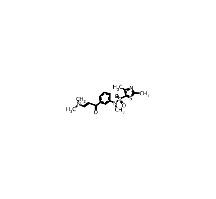 Cc1nc(C)c(S(=O)(=O)N(C)c2cccc(C(=O)/C=C/N(C)C)c2)s1